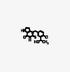 CC(O)c1cc(Cn2c(=S)[nH]c(=O)c3[nH]ccc32)ccc1Cl